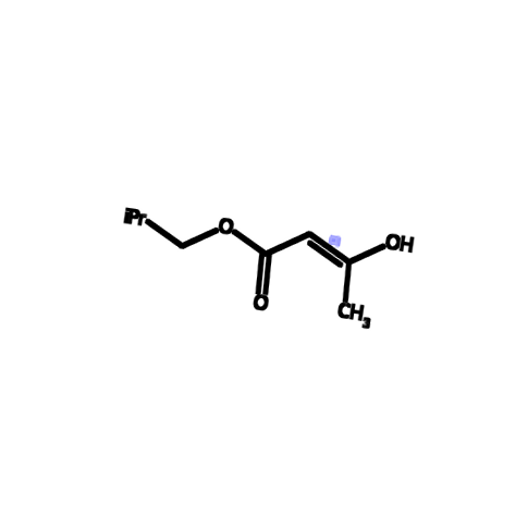 C/C(O)=C\C(=O)OCC(C)C